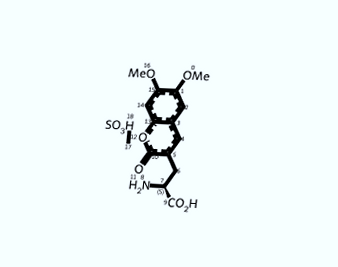 COc1cc2cc(C[C@H](N)C(=O)O)c(=O)oc2cc1OC.CS(=O)(=O)O